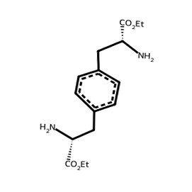 CCOC(=O)[C@H](N)Cc1ccc(C[C@@H](N)C(=O)OCC)cc1